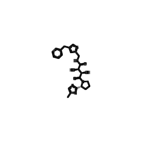 Cc1csc([C@H]2CCCN2C(=O)[C@H](O)[C@@H](O)C(=O)NCc2cc(Cc3ccccc3)cs2)n1